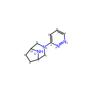 c1cnnc(N2CC3CCC(C2)N3)c1